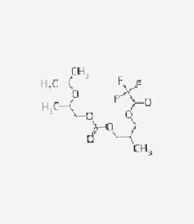 CC(COC(=O)OCC(C)OC(C)C)COC(=O)C(F)(F)F